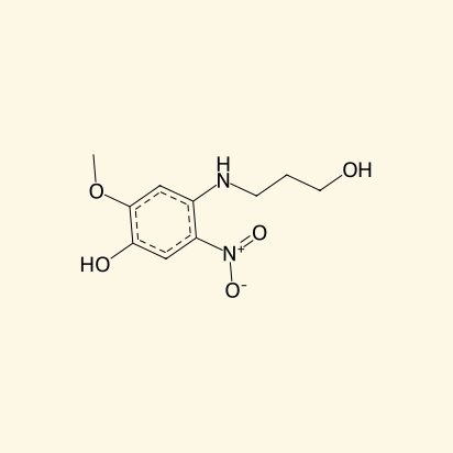 COc1cc(NCCCO)c([N+](=O)[O-])cc1O